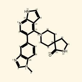 Cn1cnc2cc(-c3cnc4[nH]ccc4c3N3CCC4(CCNC4=O)CC3)ccc21